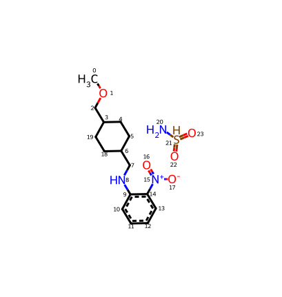 COCC1CCC(CNc2ccccc2[N+](=O)[O-])CC1.N[SH](=O)=O